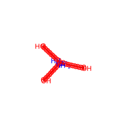 NC(COCCC(=O)NCCOCCOCCOCCOCCOCCOCCOCCOCCOCCOCCOCCOCCC(=O)O)(COCCC(=O)NCCOCCOCCOCCOCCOCCOCCOCCOCCOCCOCCOCCOCCC(=O)O)COCCC(=O)NCCOCCOCCOCCOCCOCCOCCOCCOCCOCCOCCOCCOCCC(=O)O